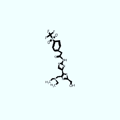 CCN(CC)Cc1nc(CO)sc1-c1csc(NC(=O)Cc2ccc(S(=O)(=O)C(F)(F)F)cc2)n1